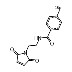 O=C(NCCN1C(=O)C=CC1=O)c1ccc([18F])cc1